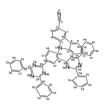 N#Cc1ccc2c(c1)c1ccccc1n2-c1ccc(-c2nc(-c3ccccc3)nc(-c3ccccc3)n2)cc1-c1cc(-c2ccccc2)nc(-c2ccccc2)n1